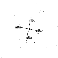 CCC[CH][Si](CCCC)(CCCC)CCCC